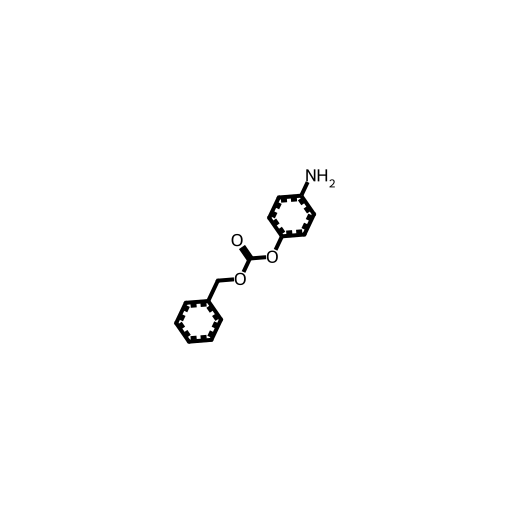 Nc1ccc(OC(=O)OCc2ccccc2)cc1